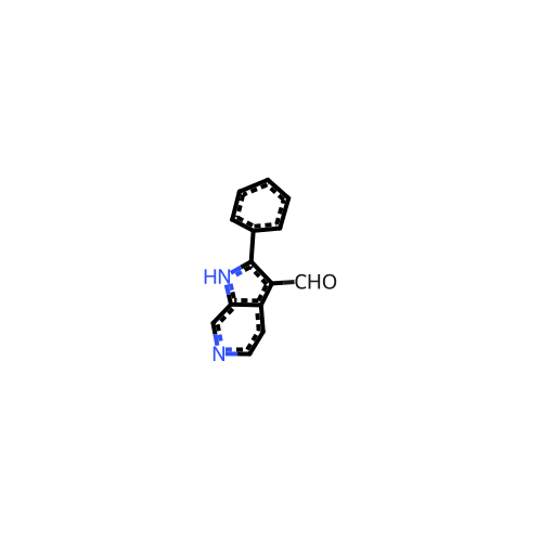 O=Cc1c(-c2ccccc2)[nH]c2cnccc12